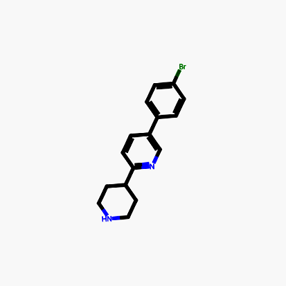 Brc1ccc(-c2ccc(C3CCNCC3)nc2)cc1